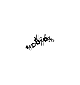 COCc1nc2c(F)cc(NC(=O)c3ccc(N4CCN(C(=O)OC(C)(C)C)CC4)c4cc(C)[nH]c34)cc2o1